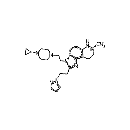 C[C@H]1CCc2c(ccc3c2nc(CCn2cccn2)n3CCN2CCN(C3CC3)CC2)N1